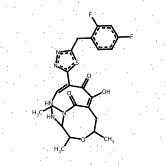 CCN1C(=O)/C2=C(\O)C(=O)/C(c3nnc(Cc4ccc(F)cc4F)s3)=C\NNC1C(C)OC(C)C2